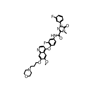 COc1cc2c(Oc3ccc(NC(=O)c4nn(-c5cccc(F)c5)c(=O)n4C)cc3F)ccnc2cc1OCCCN1CCOCC1